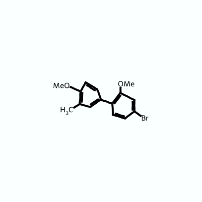 COc1ccc(-c2ccc(Br)cc2OC)cc1C